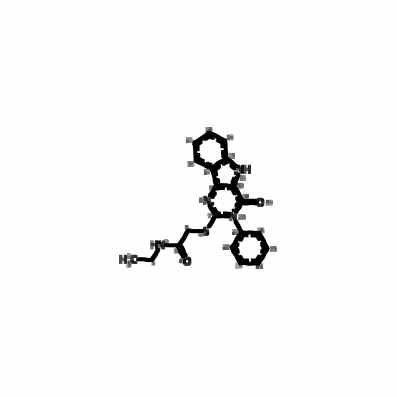 CCNC(=O)CSc1nc2c([nH]c3ccccc32)c(=O)n1-c1ccccc1